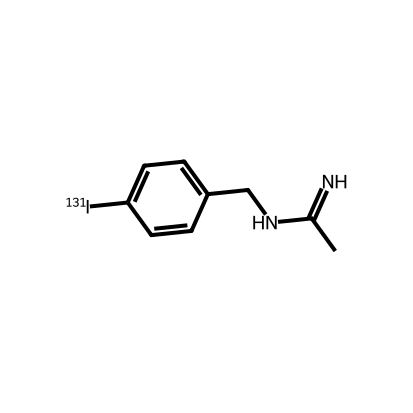 CC(=N)NCc1ccc([131I])cc1